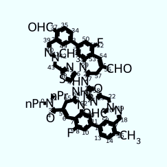 CCCN(CCC)C(=O)C1=Cc2c(F)cc(-c3ccc(C)c(/C=N\N(C=O)Cc4nnc(NC5=Nc6cc(-c7ccc(C=O)c(/C=N\N(C)Cc8nccs8)c7)cc(F)c6C=C(C=O)C5)o4)c3)cc2N=C(N)C1